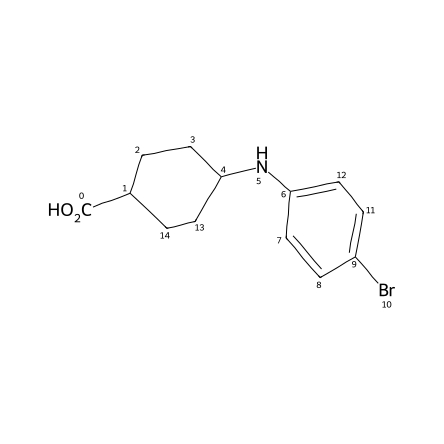 O=C(O)C1CCC(Nc2ccc(Br)cc2)CC1